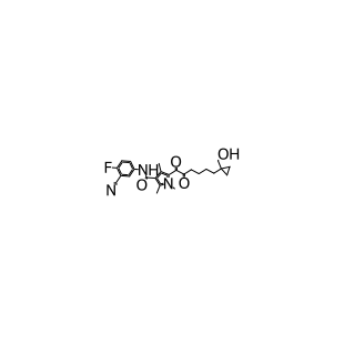 Cc1c(C(=O)Nc2ccc(F)c(C#N)c2)c(C)n(C)c1C(=O)C(=O)CCCCC1(CO)CC1